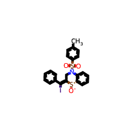 Cc1ccc(S(=O)(=O)N2CC(=C(I)c3ccccc3)[S+]([O-])c3ccccc32)cc1